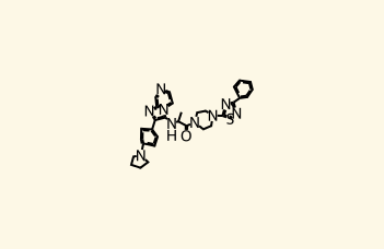 CC(Nc1c(-c2ccc(N3CCCC3)cc2)nc2cnccn12)C(=O)N1CCN(c2nc(-c3ccccc3)ns2)CC1